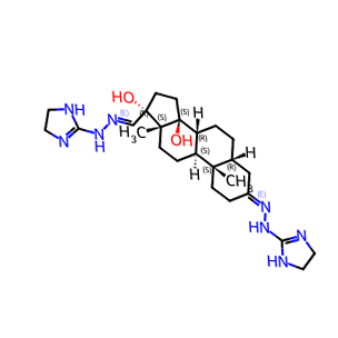 C[C@]12CC/C(=N\NC3=NCCN3)C[C@H]1CC[C@@H]1[C@@H]2CC[C@]2(C)[C@@](O)(/C=N/NC3=NCCN3)CC[C@]12O